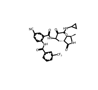 C[C@@H]1C[C@@H](CC(NC(=O)c2cc(C#N)ccc2NC(=O)c2cccc(C(F)(F)F)c2)C(=O)C(=O)NC2CC2)C(=O)N1